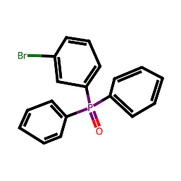 O=P(c1ccccc1)(c1ccccc1)c1cccc(Br)c1